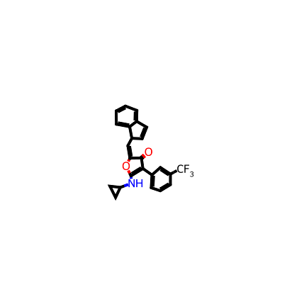 O=C1C(=CC2C=Cc3ccccc32)OC(NC2CC2)=C1c1cccc(C(F)(F)F)c1